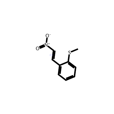 CSc1ccccc1/C=C/[N+](=O)[O-]